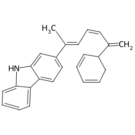 C=C(/C=C\C=C(/C)c1ccc2c(c1)[nH]c1ccccc12)C1C=CC=CC1